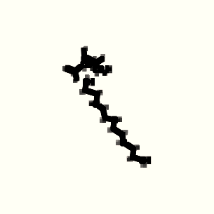 C=C(C)C(=O)O.CC=C(C)C(=O)O.OCCOCCOCCOCCO